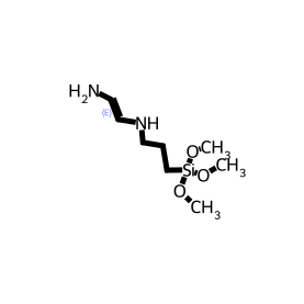 CO[Si](CCCN/C=C/N)(OC)OC